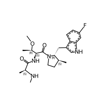 CN[C@@H](C)C(=O)N[C@H](C(=O)N1CC[C@H](C)[C@H]1Cc1c[nH]c2cc(F)ccc12)[C@@H](C)OC